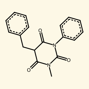 CN1C(=O)C(Cc2ccccc2)C(=O)N(c2ccccc2)C1=O